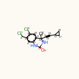 O=C1Nc2cc(CCl)c(Cl)cc2[C@@](C#CC2CC2)(C(F)(F)F)N1